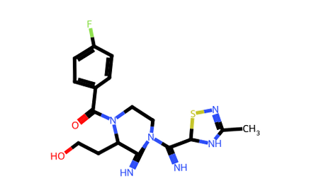 CC1=NSC(C(=N)N2CCN(C(=O)c3ccc(F)cc3)C(CCO)C2=N)N1